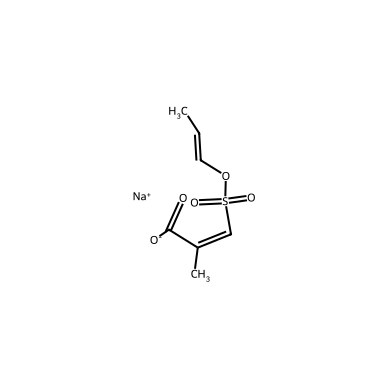 CC=COS(=O)(=O)C=C(C)C(=O)[O-].[Na+]